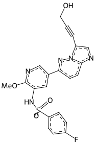 COc1ncc(-c2ccc3ncc(C#CCO)n3n2)cc1NS(=O)(=O)c1ccc(F)cc1